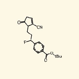 CC(C)(C)OC(=O)c1ccc(C(F)CCC2C(=O)CC=C2C#N)cc1